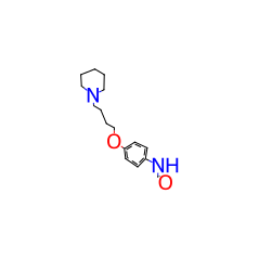 O=CNc1ccc(OCCCCN2CCCCC2)cc1